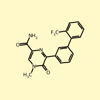 Cn1cc(C(N)=O)nc(-c2cccc(-c3ccccc3C(F)(F)F)c2)c1=O